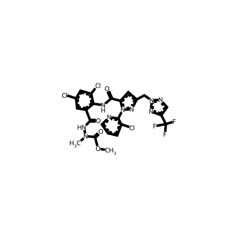 COC(=O)N(C)NC(=O)c1cc(Cl)cc(Cl)c1NC(=O)c1cc(Cn2ncc(C(F)(F)F)n2)nn1-c1ncccc1Cl